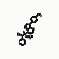 CCC(c1ccccc1)[C@](C)(C(=O)O)c1ccnc2c(-c3ccc(C(F)(F)F)cc3)cnn12